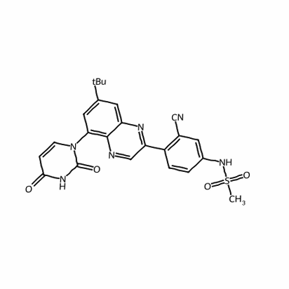 CC(C)(C)c1cc(-n2ccc(=O)[nH]c2=O)c2ncc(-c3ccc(NS(C)(=O)=O)cc3C#N)nc2c1